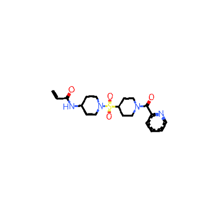 C=CC(=O)NC1CCN(S(=O)(=O)C2CCN(C(=O)c3ccccn3)CC2)CC1